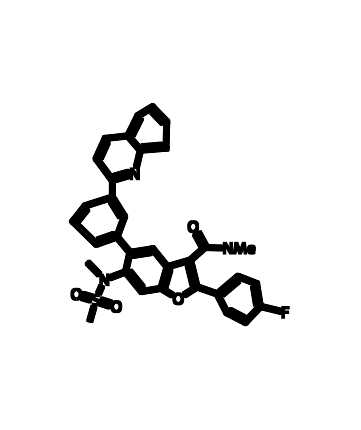 CNC(=O)c1c(-c2ccc(F)cc2)oc2cc(N(C)S(C)(=O)=O)c(-c3cccc(-c4ccc5ccccc5n4)c3)cc12